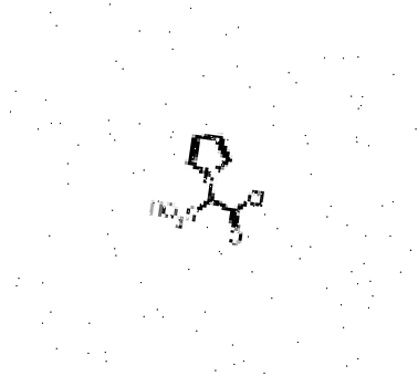 O=C(Cl)C(n1cccc1)S(=O)(=O)O